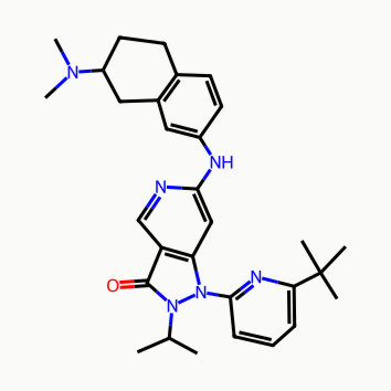 CC(C)n1c(=O)c2cnc(Nc3ccc4c(c3)CC(N(C)C)CC4)cc2n1-c1cccc(C(C)(C)C)n1